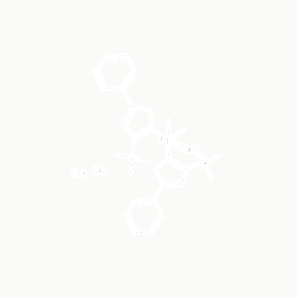 C[Si](C)(C)C1=[C]([Hf]([CH3])([CH3])(=[SiH2])[C]2=C([Si](C)(C)C)C=C(c3ccccc3)C2)CC(c2ccccc2)=C1.Cl.Cl